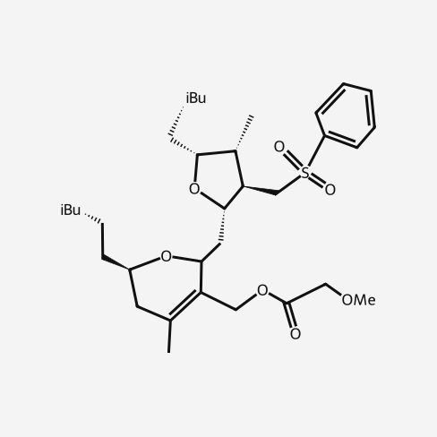 CC[C@@H](C)C[C@H]1O[C@@H](CC2O[C@H](CC[C@@H](C)CC)CC(C)=C2COC(=O)COC)[C@H](CS(=O)(=O)c2ccccc2)[C@H]1C